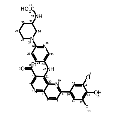 CCC(=O)c1cnc2ccc(-c3cc(F)c(O)c(Cl)c3)nc2c1Nc1ccc(N2CCCC(NC(=O)O)C2)nc1